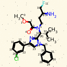 COCC(=O)N(CCC(N)CF)[C@@H](c1nc(-c2cccc(Cl)c2)cn1Cc1ccccc1)C(C)C